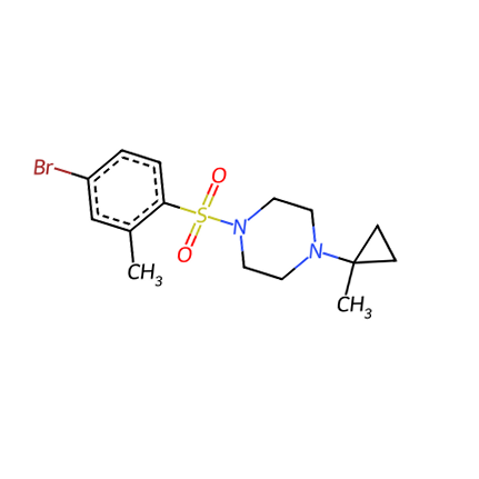 Cc1cc(Br)ccc1S(=O)(=O)N1CCN(C2(C)CC2)CC1